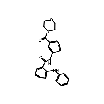 O=C(Nc1cccc(C(=O)N2CCOCC2)c1)c1ccccc1Nc1ccccc1